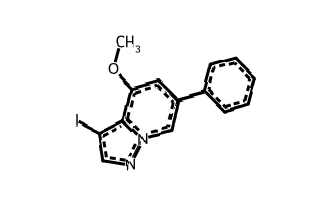 COc1cc(-c2ccccc2)cn2ncc(I)c12